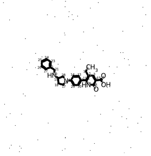 CCc1cc(C(=O)O)c(=O)[nH]c1-c1ccc(N2CCC(NCc3ccccc3)C2)cc1